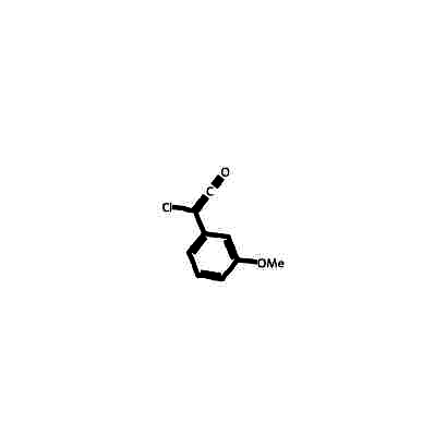 COc1cccc(C(Cl)=C=O)c1